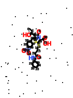 CC[C@H](O)[C@@H]1C(=O)N2C(C(=O)O)=C(SCCCC(=O)Nc3ccccc3)S[C@]12Cc1ccc([N+](=O)[O-])cc1